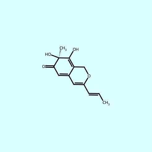 C/C=C/C1=CC2=CC(=O)[C@@](C)(O)C(O)=C2CO1